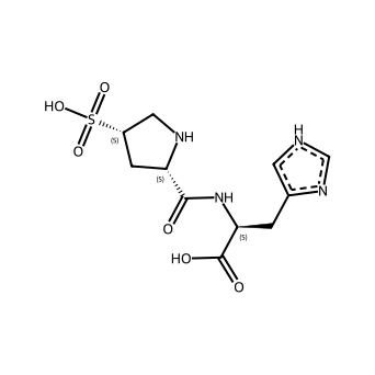 O=C(O)[C@H](Cc1c[nH]cn1)NC(=O)[C@@H]1C[C@H](S(=O)(=O)O)CN1